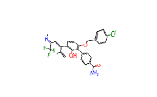 C=C(C)/C(=C\C(=N/C)C(F)(F)F)c1ccc(OCc2ccc(Cl)cc2)c(-c2ccc(C(N)=O)cc2)c1O